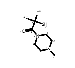 CN1CCN(C(=O)C(F)(F)S)CC1